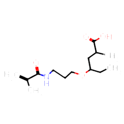 C=C(C)C(=O)NCCCOC(CC)CC(C)C(=O)O